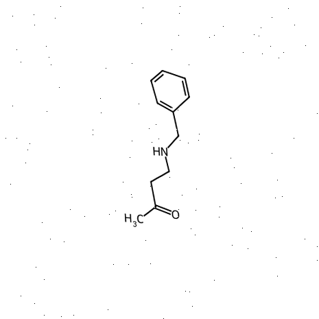 CC(=O)CCNCc1ccccc1